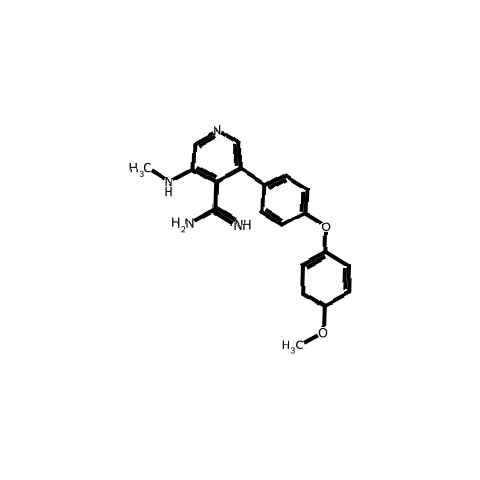 CNc1cncc(-c2ccc(OC3=CCC(OC)C=C3)cc2)c1C(=N)N